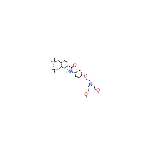 COCCN(CCOC)CCOc1ccc(NC(=O)c2ccc3c(c2)CC(C)(C)CC(C)(C)C3)cc1